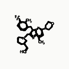 Cc1c(Cc2c(CN3CCCC(CO)C3)nc3c(C)cc(N4CCOCC4)nn23)cccc1C(F)(F)F